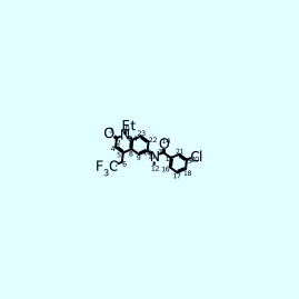 CCn1c(=O)cc(CC(F)(F)F)c2cc(N(C)C(=O)c3cccc(Cl)c3)ccc21